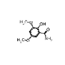 COc1cc(OC)c(O)c(C(N)=O)c1